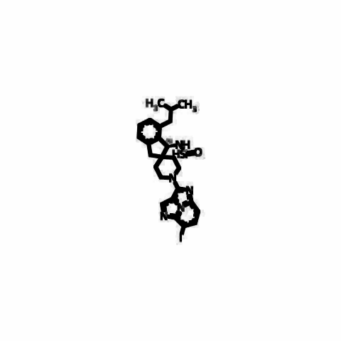 CC(C)Cc1cccc2c1[C@@H](N[SiH]=O)C1(CCN(c3nc4ccc(I)c5ncc3n45)CC1)C2